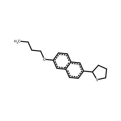 CCCCOc1ccc2cc(C3CCCS3)ccc2c1